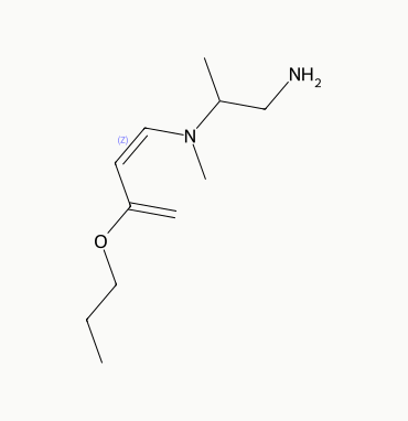 C=C(/C=C\N(C)C(C)CN)OCCC